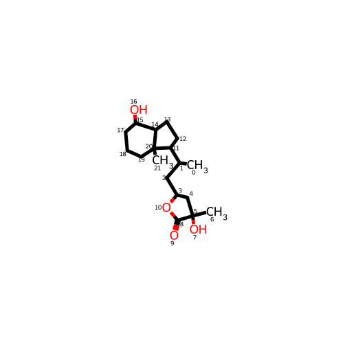 CC(CC1CC(C)(O)C(=O)O1)C1CCC2C(O)CCCC12C